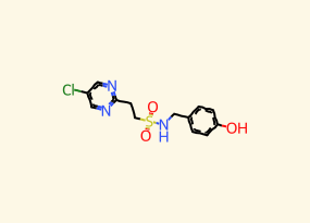 O=S(=O)(CCc1ncc(Cl)cn1)NCc1ccc(O)cc1